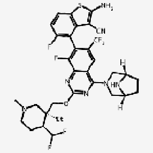 CC[C@@]1(COc2nc(N3C[C@H]4CC[C@@H](C3)N4)c3cc(C(F)(F)F)c(-c4c(F)ccc5sc(N)c(C#N)c45)c(F)c3n2)CN(C)CC[C@@H]1C(F)F